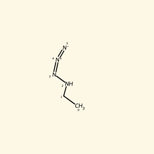 CCNN=[N+]=[N-]